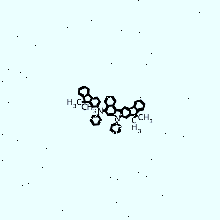 CC1(C)c2ccccc2-c2ccc(N(c3ccccc3)c3cc4c(c5ccccc35)c3cc5c(cc3n4-c3ccccc3)C(C)(C)c3ccccc3-5)cc21